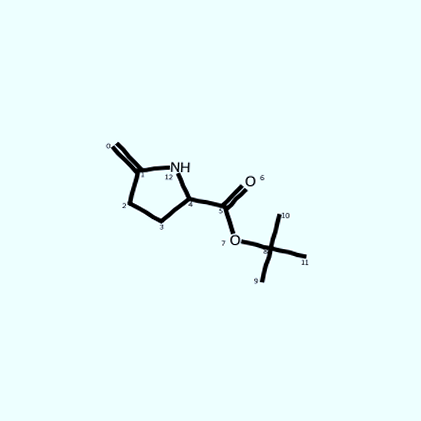 C=C1CCC(C(=O)OC(C)(C)C)N1